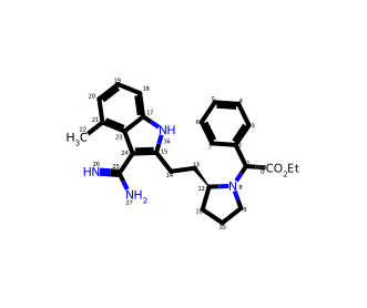 CCOC(=O)C(c1ccccc1)N1CCC[C@H]1CCc1[nH]c2cccc(C)c2c1C(=N)N